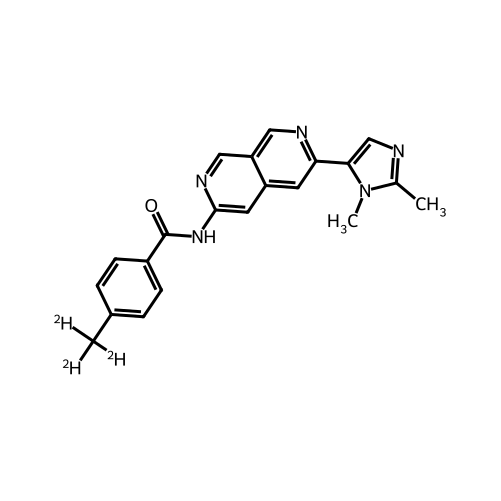 [2H]C([2H])([2H])c1ccc(C(=O)Nc2cc3cc(-c4cnc(C)n4C)ncc3cn2)cc1